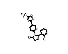 O=C1CCC(c2ccccc2Cl)N1c1ccc(-c2noc(C(F)(F)F)n2)cn1